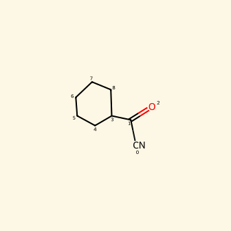 N#CC(=O)C1CCCCC1